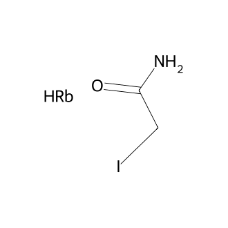 NC(=O)CI.[RbH]